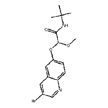 COC(Oc1ccc2ncc(Br)cc2c1)C(=O)NC(C)(C)C